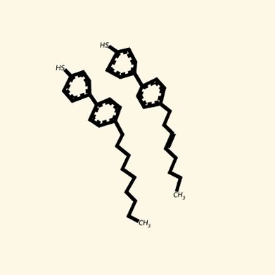 CCCC/C=C/CCc1ccc(-c2ccc(S)cc2)cc1.CCCCCCCCCc1ccc(-c2ccc(S)cc2)cc1